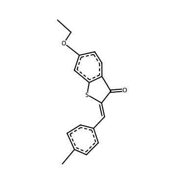 CCOc1ccc2c(c1)SC(=Cc1ccc(C)cc1)C2=O